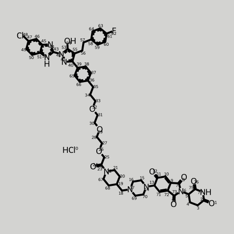 Cl.O=C1CCC(N2C(=O)C3=CC(=O)C(N4CCN(CC5CCN(C(=O)COCCOCCOCCCc6ccc(-c7nn(-c8nc9cc(Cl)ccc9[nH]8)c(O)c7CCc7ccc(F)cc7)cc6)CC5)CC4)C=C3C2=O)C(=O)N1